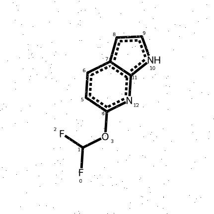 FC(F)Oc1ccc2cc[nH]c2n1